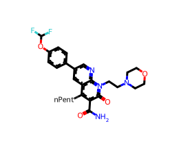 CCCCCc1c(C(N)=O)c(=O)n(CCN2CCOCC2)c2ncc(-c3ccc(OC(F)F)cc3)cc12